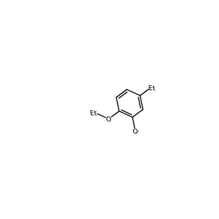 CCOc1ccc(CC)cc1[O]